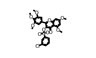 COc1cc(OC)c2c(=O)c(OS(=O)(=O)c3cccc(Cl)c3)c(-c3cc(OC)c(OC)c(OC)c3)oc2c1